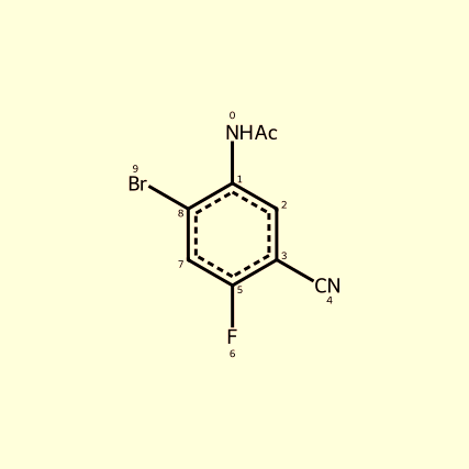 CC(=O)Nc1cc(C#N)c(F)cc1Br